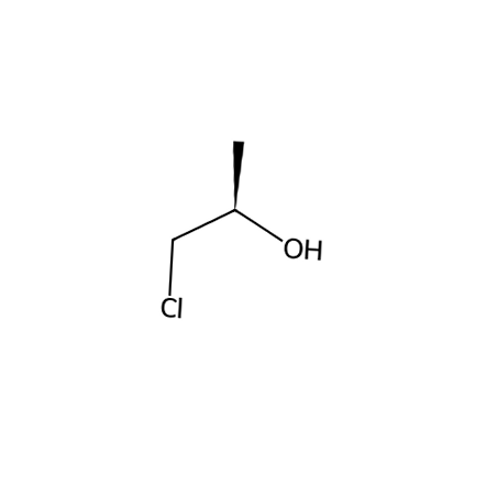 C[C@@H](O)CCl